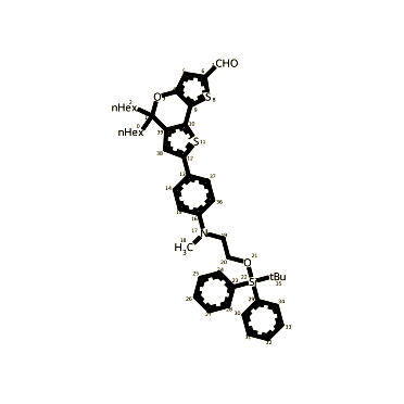 CCCCCCC1(CCCCCC)Oc2cc(C=O)sc2-c2sc(-c3ccc(N(C)CCO[Si](c4ccccc4)(c4ccccc4)C(C)(C)C)cc3)cc21